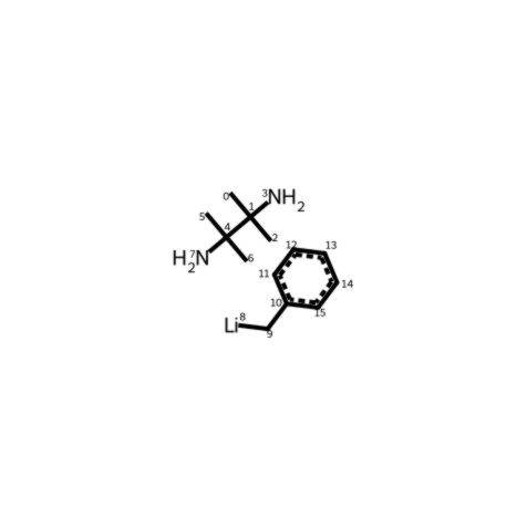 CC(C)(N)C(C)(C)N.[Li][CH2]c1ccccc1